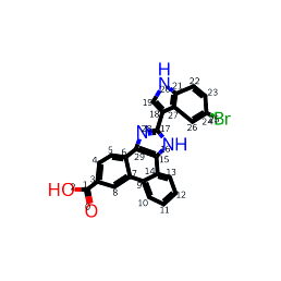 O=C(O)c1ccc2c(c1)c1ccccc1c1[nH]c(-c3c[nH]c4ccc(Br)cc34)nc21